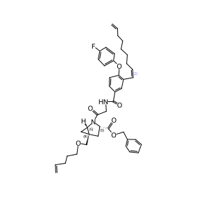 C=CCCCCC/C=C\c1cc(C(=O)NCC(=O)N2[C@H]3C[C@@]3(COCCCC=C)C[C@H]2C(=O)OCc2ccccc2)ccc1Oc1ccc(F)cc1